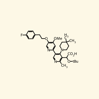 COc1cc(-c2cnc(C)c(C(OC(C)(C)C)C(=O)O)c2N2CCC(C)(C)CC2)ncc1OCCc1ccc(F)cc1